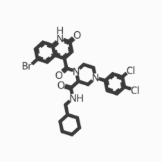 O=C(NCC1CCCCC1)C1CN(c2ccc(Cl)c(Cl)c2)CCN1C(=O)c1cc(=O)[nH]c2ccc(Br)cc12